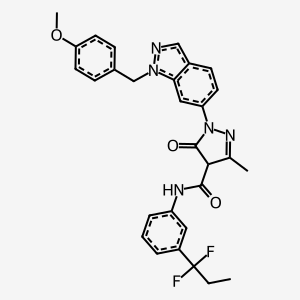 CCC(F)(F)c1cccc(NC(=O)C2C(=O)N(c3ccc4cnn(Cc5ccc(OC)cc5)c4c3)N=C2C)c1